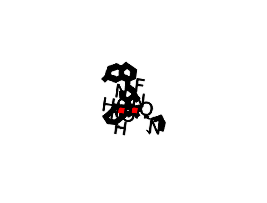 Cc1ccc2cccc(-c3ncc4c(N5C[C@H]6CC[C@@H](C5)N6C(=O)OC(C)(C)C)nc(OC[C@@H]5CCCN5C)nc4c3F)c2c1